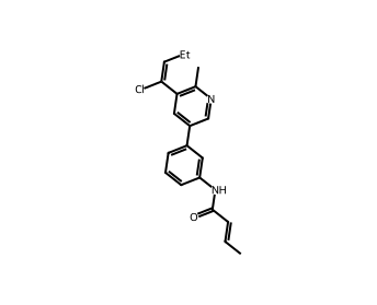 C/C=C/C(=O)Nc1cccc(-c2cnc(C)c(/C(Cl)=C\CC)c2)c1